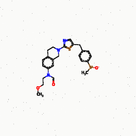 COCCN(C=O)c1ccc2c(c1)CN(c1ncc(Cc3ccc([S+](C)[O-])cc3)s1)CC2